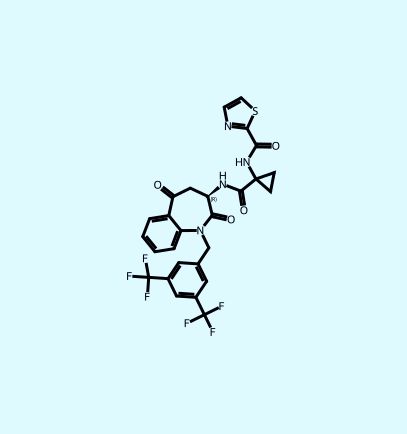 O=C(NC1(C(=O)N[C@@H]2CC(=O)c3ccccc3N(Cc3cc(C(F)(F)F)cc(C(F)(F)F)c3)C2=O)CC1)c1nccs1